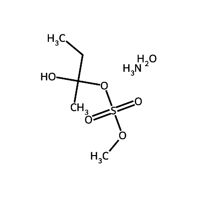 CCC(C)(O)OS(=O)(=O)OC.N.O